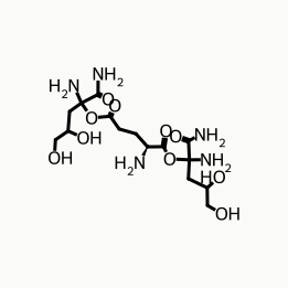 NC(=O)C(N)(CC(O)CO)OC(=O)CC[C@H](N)C(=O)OC(N)(CC(O)CO)C(N)=O